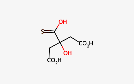 O=C(O)CC(O)(CC(=O)O)C(O)=S